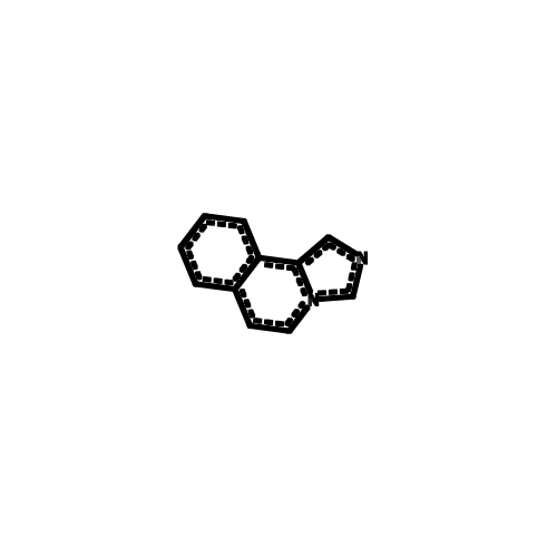 c1ccc2c(c1)ccn1cncc21